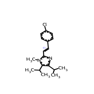 CC(C)c1nc(/C=C/c2ccc(Cl)cc2)n(C)c1C(C)C